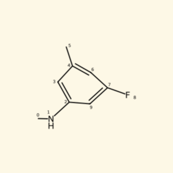 CNc1cc(C)cc(F)c1